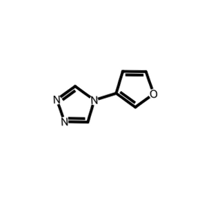 c1cc(-n2cnnc2)co1